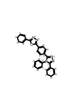 C1=CC(c2nnc(-c3ccc(-c4nnc(C5=CCCC=C5)n4-c4ccccc4)cc3)o2)=CCC1